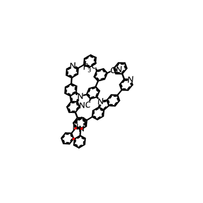 N#Cc1cc(-c2cc(-n3c4cc(-c5ccnc(-c6ccccc6)c5)ccc4c4ccc(-c5ccnc(-c6ccccc6)c5)cc43)c(C#N)c(-n3c4cc(-c5ccnc(-c6ccccc6)c5)ccc4c4ccc(-c5ccnc(-c6ccccc6)c5)cc43)c2)cc(C(F)(F)F)c1